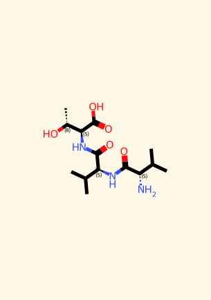 CC(C)[C@H](N)C(=O)N[C@H](C(=O)N[C@H](C(=O)O)[C@@H](C)O)C(C)C